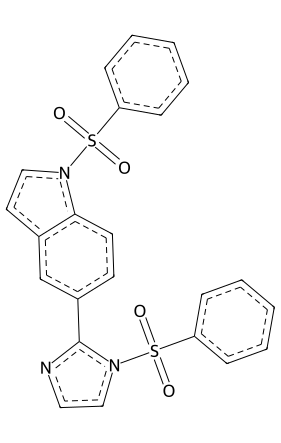 O=S(=O)(c1ccccc1)n1ccnc1-c1ccc2c(ccn2S(=O)(=O)c2ccccc2)c1